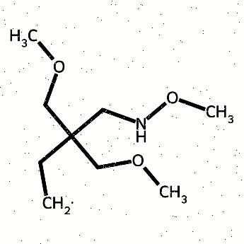 [CH2]CC(CNOC)(COC)COC